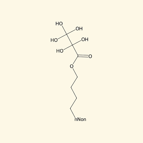 CCCCCCCCCCCCCOC(=O)C(O)(O)C(O)(O)O